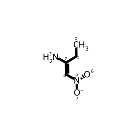 CC/C(N)=C\[N+](=O)[O-]